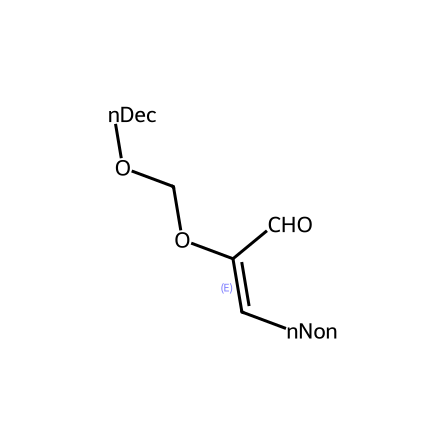 CCCCCCCCC/C=C(\C=O)OCOCCCCCCCCCC